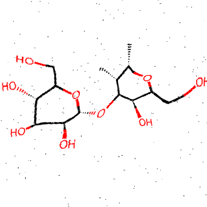 C[C@@H]1OC(CO)[C@@H](O)C(O[C@H]2OC(CO)[C@@H](O)C(O)[C@@H]2O)[C@@H]1C